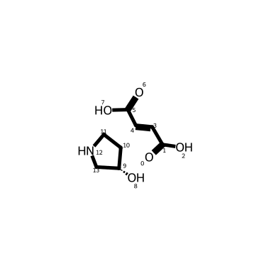 O=C(O)C=CC(=O)O.O[C@H]1CCNC1